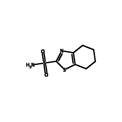 NS(=O)(=O)c1nc2c(s1)CCCC2